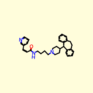 O=C(/C=C\c1cccnc1)NCCCCN1CCC(C2c3ccccc3CCc3ccccc32)CC1